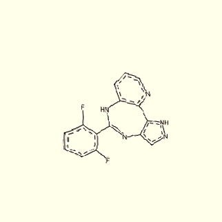 Fc1cccc(F)c1C1=Nc2cn[nH]c2-c2ncccc2N1